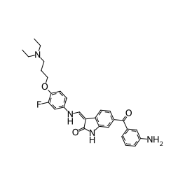 CCN(CC)CCCOc1ccc(NC=C2C(=O)Nc3cc(C(=O)c4cccc(N)c4)ccc32)cc1F